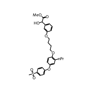 CCCc1cc(Oc2ccc(S(C)(=O)=O)cc2)ccc1OCCCCOc1cccc(C(O)C(=O)OC)c1